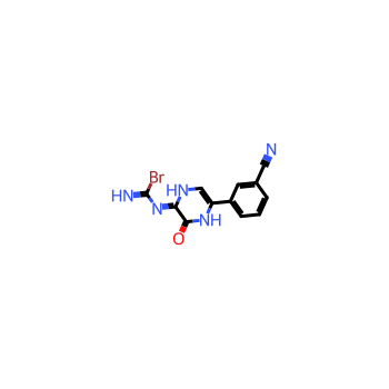 N#Cc1cccc(-c2c[nH]/c(=N\C(=N)Br)c(=O)[nH]2)c1